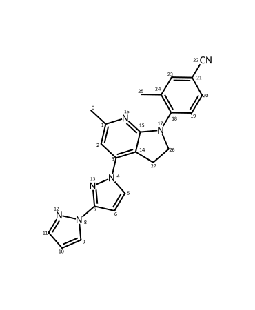 Cc1cc(-n2ccc(-n3cccn3)n2)c2c(n1)N(c1ccc(C#N)cc1C)CC2